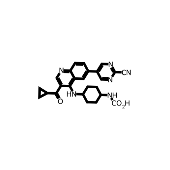 N#Cc1ncc(-c2ccc3ncc(C(=O)C4CC4)c(NC4CCC(NC(=O)O)CC4)c3c2)cn1